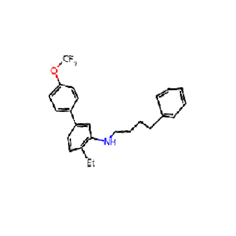 CCc1ccc(-c2ccc(OC(F)(F)F)cc2)cc1NCCCCc1ccccc1